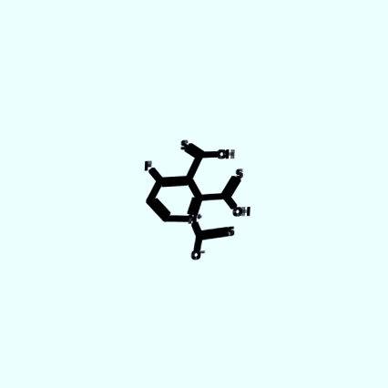 [O-]C(=S)[n+]1ccc(F)c(C(O)=S)c1C(O)=S